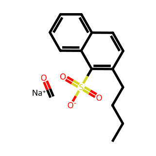 C=O.CCCCc1ccc2ccccc2c1S(=O)(=O)[O-].[Na+]